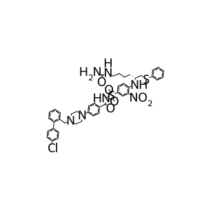 NC(=O)NCCCC[C@H](CSc1ccccc1)Nc1ccc(S(=O)(=O)NC(=O)c2ccc(N3CCN(Cc4ccccc4-c4ccc(Cl)cc4)CC3)cc2)cc1[N+](=O)[O-]